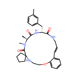 Cc1cccc(C[C@H]2NC(=O)[C@H](C)N(C)C(=O)C3(CCCC3)NCCOc3ccccc3/C=C/CNC2=O)c1